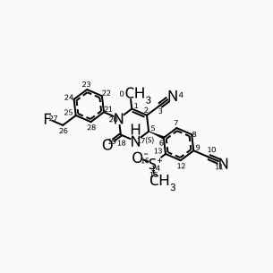 CC1=C(C#N)[C@@H](c2ccc(C#N)cc2[S+](C)[O-])NC(=O)N1c1cccc(CF)c1